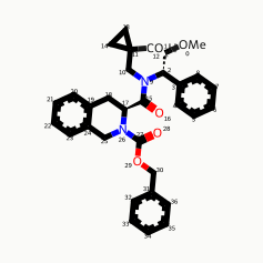 COC[C@H](c1ccccc1)N(CC1(C(=O)O)CC1)C(=O)[C@@H]1Cc2ccccc2CN1C(=O)OCc1ccccc1